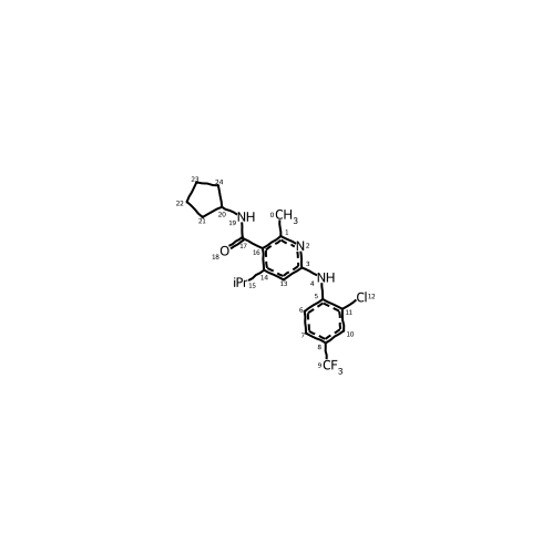 Cc1nc(Nc2ccc(C(F)(F)F)cc2Cl)cc(C(C)C)c1C(=O)NC1CCCC1